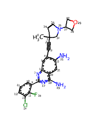 CC1(C#Cc2cc3nc(-c4cccc(Cl)c4F)nc(N)c3cc2N)CCN(C2COC2)C1